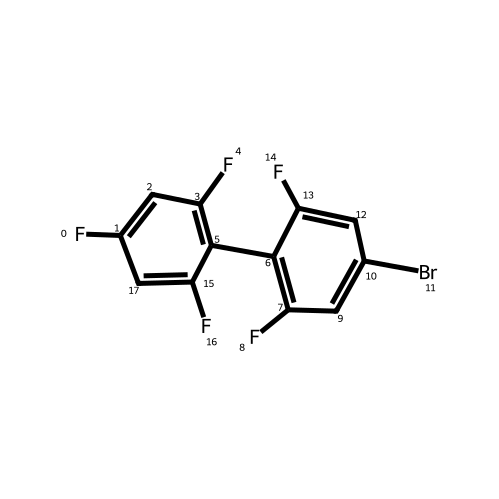 Fc1cc(F)c(-c2c(F)cc(Br)cc2F)c(F)c1